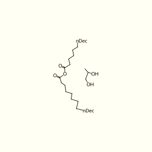 CC(O)CO.CCCCCCCCCCCCCCCCCC(=O)OC(=O)CCCCCCCCCCCCCCC